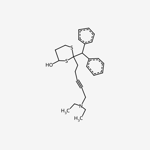 CCN(CC)CC#CCCC1(C(c2ccccc2)c2ccccc2)SCCC(O)S1